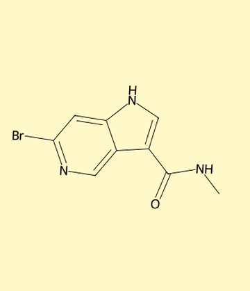 CNC(=O)c1c[nH]c2cc(Br)ncc12